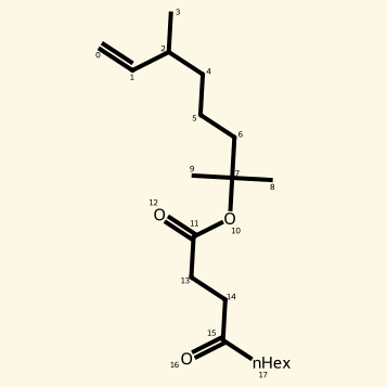 C=CC(C)CCCC(C)(C)OC(=O)CCC(=O)CCCCCC